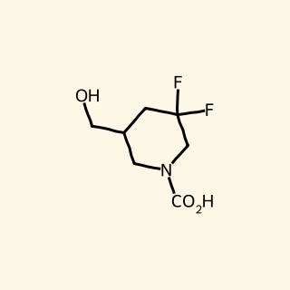 O=C(O)N1CC(CO)CC(F)(F)C1